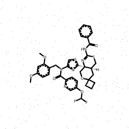 COc1ccc(CN(C(=O)c2ccc(OC(F)F)cn2)c2csc([C@@]34COC5(CCC5)C[C@@H]3CSC(NC(=O)c3ccccc3)=N4)n2)c(OC)c1